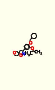 CC(C)Oc1cc(C2=NOC3(CCOC3)C2)ccc1OCC1CCCCC1